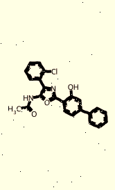 CC(=O)Nc1oc(-c2ccc(-c3ccccc3)cc2O)nc1-c1ccccc1Cl